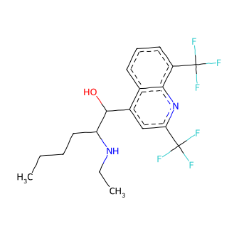 CCCCC(NCC)C(O)c1cc(C(F)(F)F)nc2c(C(F)(F)F)cccc12